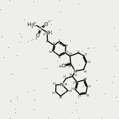 CS(=O)(=O)NCc1ccc(C2CC=CCN(C(CN3CCCC3)c3ccccc3)C2=O)cc1